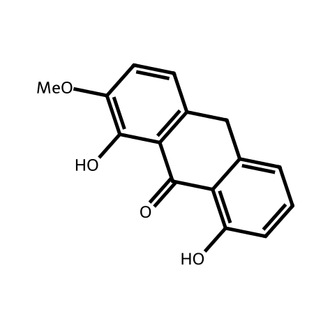 COc1ccc2c(c1O)C(=O)c1c(O)cccc1C2